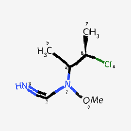 CON(C=N)C(C)[C@@H](C)Cl